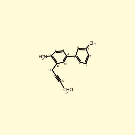 Nc1ccc(-c2cccc(Cl)c2)cc1CC#CC=O